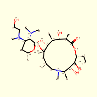 CC[C@H]1OC(=O)[C@H](C)[C@@H](O)[C@H](C)[C@@H](O[C@@H]2O[C@H](C)C[C@@H](N(C)CCO)[C@@H]2N(C)C)[C@](C)(O)C[C@@H](C)CN(C)[C@H](C)[C@@H](O)[C@]1(C)O